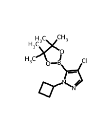 CC1(C)OB(c2c(Cl)cnn2C2CCC2)OC1(C)C